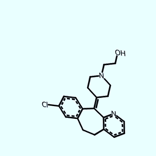 OCCN1CCC(=C2c3ccc(Cl)cc3CCc3cccnc32)CC1